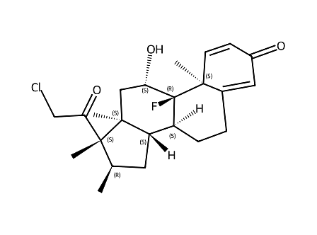 C[C@@H]1C[C@H]2[C@@H]3CCC4=CC(=O)C=C[C@]4(C)[C@@]3(F)[C@@H](O)C[C@]2(C)[C@@]1(C)C(=O)CCl